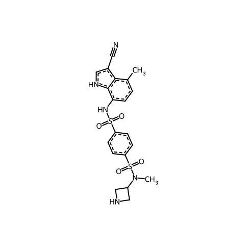 Cc1ccc(NS(=O)(=O)c2ccc(S(=O)(=O)N(C)C3CNC3)cc2)c2[nH]cc(C#N)c12